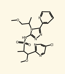 COCC(C)n1c(NS(=O)(=O)C(C)C(OC)c2ncc(Cl)cn2)nnc1-c1ccccn1